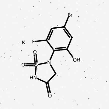 O=C1CN(c2c(O)cc(Br)cc2F)S(=O)(=O)N1.[K]